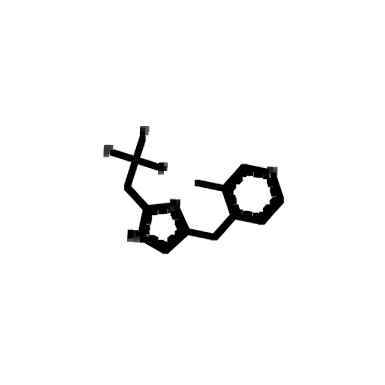 Cc1cnccc1Cc1c[nH]c(CC(F)(F)F)n1